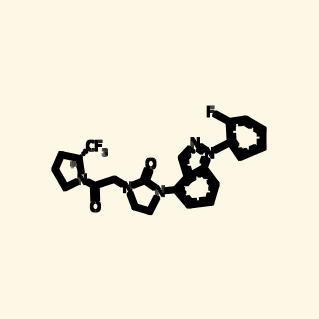 O=C1N(CC(=O)N2CCC[C@@H]2C(F)(F)F)CCN1c1cccc2c1cnn2-c1ccccc1F